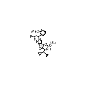 COc1ncccc1C(CC(F)F)n1cc(NC(=O)[C@@H](NC(=O)OC(C)(C)C)C(C2CC2)C2CC2)cn1